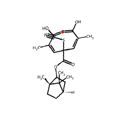 CC(=CC(C=C(C)C(=O)O)(SC#N)C(=O)OC1C[C@H]2CC[C@@]1(C)C2(C)C)C(=O)O